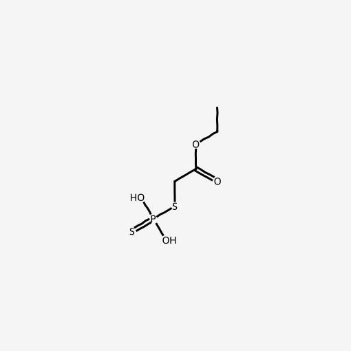 CCOC(=O)CSP(O)(O)=S